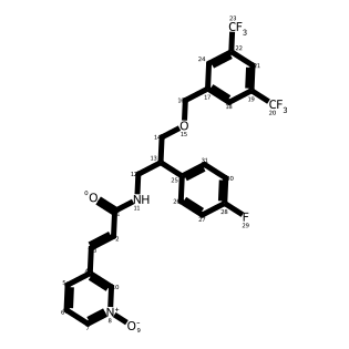 O=C(C=Cc1ccc[n+]([O-])c1)NCC(COCc1cc(C(F)(F)F)cc(C(F)(F)F)c1)c1ccc(F)cc1